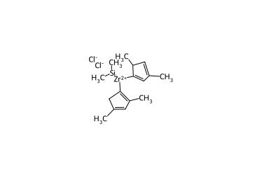 CC1=CC(C)[C]([Zr+2]([C]2=C(C)C=C(C)C2)=[Si](C)C)=C1.[Cl-].[Cl-]